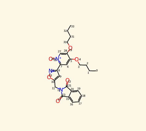 CCCCOc1cc(-c2cc(CN3C(=O)c4ccccc4C3=O)on2)[n+]([O-])cc1OCCCC